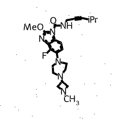 COc1nc2c(F)c(N3CCN(C4CN(C)C4)CC3)ccc2n1C(=O)NCC#CC(C)C